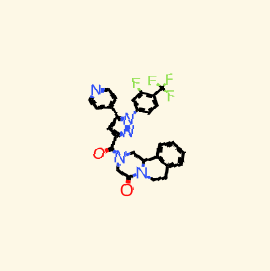 O=C(c1cc(-c2ccncc2)n(-c2ccc(C(F)(F)F)c(F)c2)n1)N1CC(=O)N2CCc3ccccc3C2C1